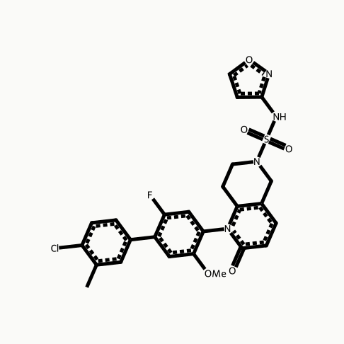 COc1cc(-c2ccc(Cl)c(C)c2)c(F)cc1-n1c2c(ccc1=O)CN(S(=O)(=O)Nc1ccon1)CC2